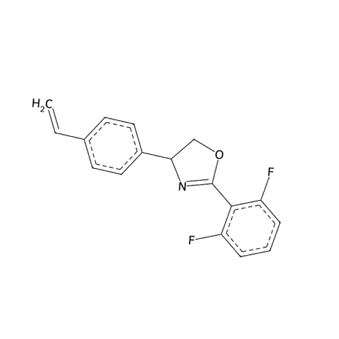 C=Cc1ccc(C2COC(c3c(F)cccc3F)=N2)cc1